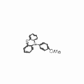 COc1ccc([S+]2c3ccccc3Sc3ccccc32)cc1